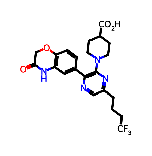 O=C1COc2ccc(-c3ncc(CCCC(F)(F)F)nc3N3CCC(C(=O)O)CC3)cc2N1